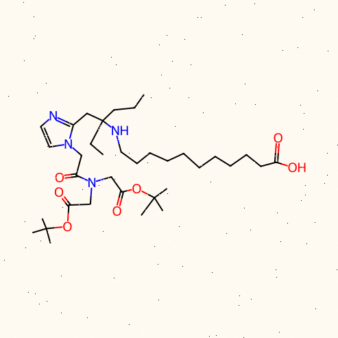 CCCC(CC)(Cc1nccn1CC(=O)N(CC(=O)OC(C)(C)C)CC(=O)OC(C)(C)C)NCCCCCCCCCCC(=O)O